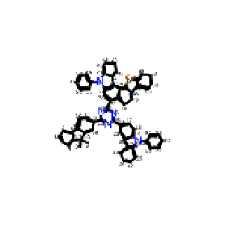 CC1(C)c2ccccc2-c2ccc(-c3nc(-c4ccc5c(c4)c4ccccc4n5-c4ccccc4)nc(-c4cc5c(c6ccccc6n5-c5ccccc5)c5c4ccc4c6ccccc6sc45)n3)cc21